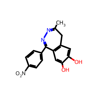 CC1=NN=C(c2ccc([N+](=O)[O-])cc2)c2cc(O)c(O)cc2C1